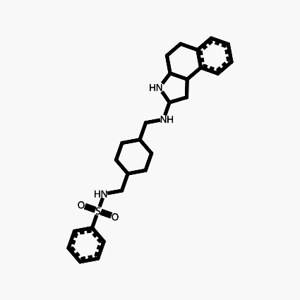 O=S(=O)(NCC1CCC(CNC2CC3c4ccccc4CCC3N2)CC1)c1ccccc1